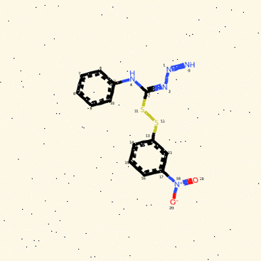 N=N/N=C(\Nc1ccccc1)SSc1cccc([N+](=O)[O-])c1